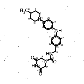 CC1CCN(c2ccc(Nc3ccc(CNC(=O)N4CC(=O)NC(=O)C4)cc3)cc2)CC1